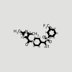 CCC(C1CCN(C(=O)c2sc(C)nc2C)CC1)S(=O)(=O)c1cccc(C(F)(F)F)c1